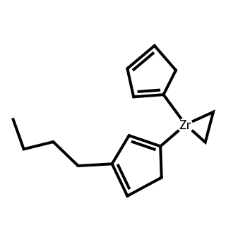 CCCCC1=CC[C]([Zr]2([C]3=CC=CC3)[CH2][CH2]2)=C1